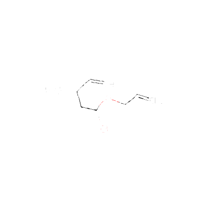 C=CCO[C@H](O)C[C@@H](C=C)C(=O)O